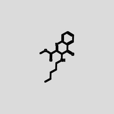 CCCCCNC1C(=O)c2ccccc2N=C1C(=O)OC